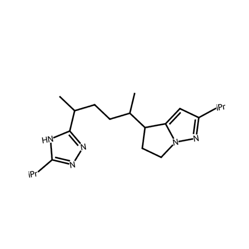 CC(C)c1cc2n(n1)CCC2C(C)CCC(C)c1nnc(C(C)C)[nH]1